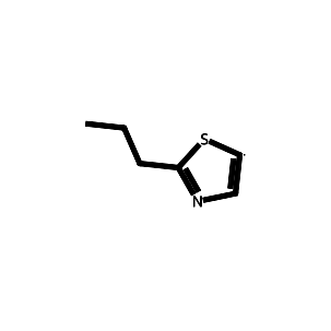 CCCc1nc[c]s1